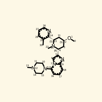 CO[C@@H]1C[C@H](c2cn3c(N4CCN(C)CC4)cccc3n2)N(C)[C@H](c2ncccc2C)C1